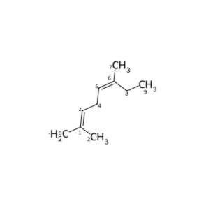 [CH2]C(C)=CCC=C(C)CC